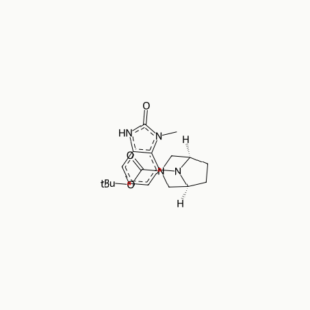 Cn1c(=O)[nH]c2cccc(N3[C@@H]4CC[C@H]3CN(C(=O)OC(C)(C)C)C4)c21